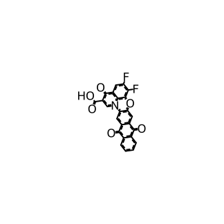 O=C(O)c1cn2c3cc4c(=O)c5ccccc5c(=O)c4cc3oc3c(F)c(F)cc(c1=O)c32